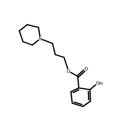 O=C(OCCCN1CCCCC1)c1ccccc1O